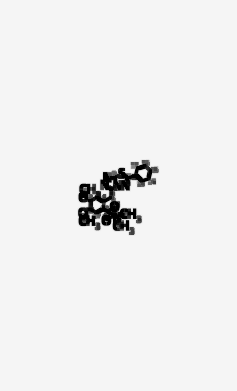 COc1cc(Cc2nnc3sc(-c4ccccc4)nn23)c(S(=O)(=O)N(C)C)cc1OC